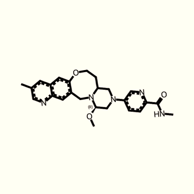 CNC(=O)c1ccc(N2CC3CCOc4cc5cc(C)cnc5cc4CN3[C@H](OC)C2)cn1